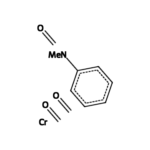 C=O.C=O.C=O.CNc1ccccc1.[Cr]